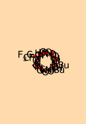 CCCC[C@H]1C(=O)N[C@@H]([C@@H](C)CC)C(=O)N(C)CC(=O)N(C)CC(=O)N(C)[C@@H](CC2CCCCC2)C(=O)N(C)CC(=O)N[C@@H](CCc2ccc(C(F)(F)F)c(Cl)c2)C(=O)N2CCC[C@H]2C(=O)NC2(CCCC2)C(=O)N(C)[C@@H](C2CCCCC2)C(=O)N(C)[C@H](C(=O)N2CCCCC2)CC(=O)N1C